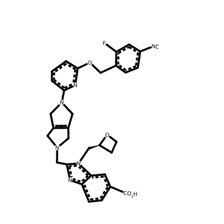 [C-]#[N+]c1ccc(COc2cccc(N3CC4=C(CN(Cc5nc6ccc(C(=O)O)cc6n5C[C@@H]5CCO5)C4)C3)n2)c(F)c1